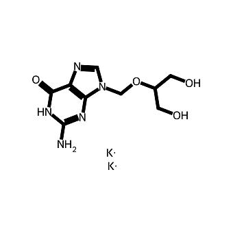 Nc1nc2c(ncn2COC(CO)CO)c(=O)[nH]1.[K].[K]